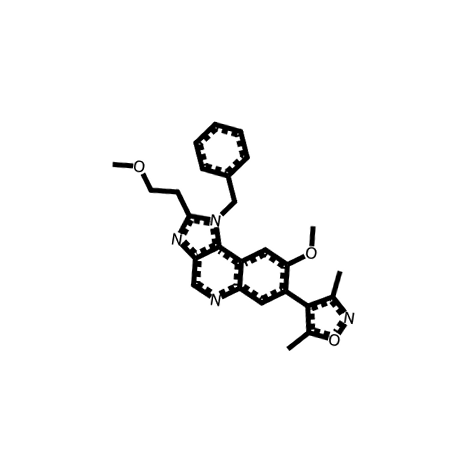 COCCc1nc2cnc3cc(-c4c(C)noc4C)c(OC)cc3c2n1Cc1ccccc1